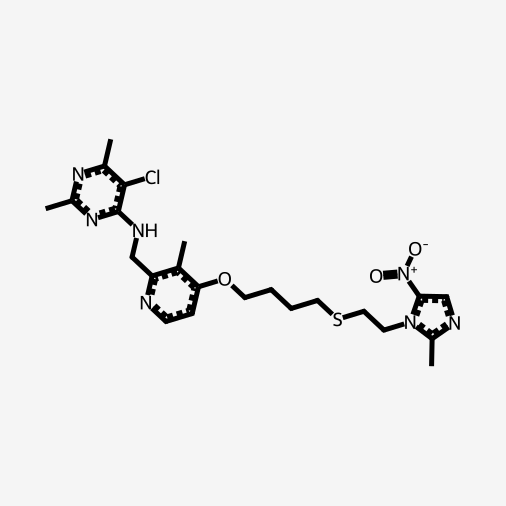 Cc1nc(C)c(Cl)c(NCc2nccc(OCCCCSCCn3c([N+](=O)[O-])cnc3C)c2C)n1